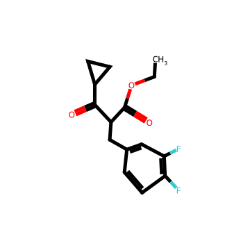 CCOC(=O)C(Cc1ccc(F)c(F)c1)C(=O)C1CC1